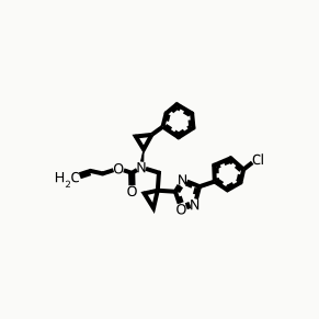 C=CCOC(=O)N(CC1(c2nc(-c3ccc(Cl)cc3)no2)CC1)[C@H]1CC1c1ccccc1